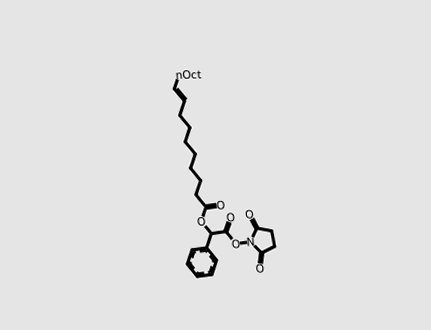 CCCCCCCCC=CCCCCCCCC(=O)OC(C(=O)ON1C(=O)CCC1=O)c1ccccc1